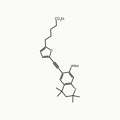 CCCCCCc1cc2c(cc1C#Cc1ccc(CCCCC(=O)OCC)o1)C(C)(C)CC(C)(C)S2